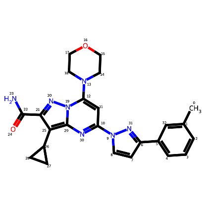 Cc1cccc(-c2ccn(-c3cc(N4CCOCC4)n4nc(C(N)=O)c(C5CC5)c4n3)n2)c1